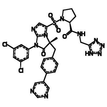 C[C@@]1(Cc2ccc(-c3cncnc3)cc2)C(=O)N(c2cc(Cl)cc(Cl)c2)c2ncc(S(=O)(=O)N3CCC[C@H]3C(=O)NCc3nnn[nH]3)n21